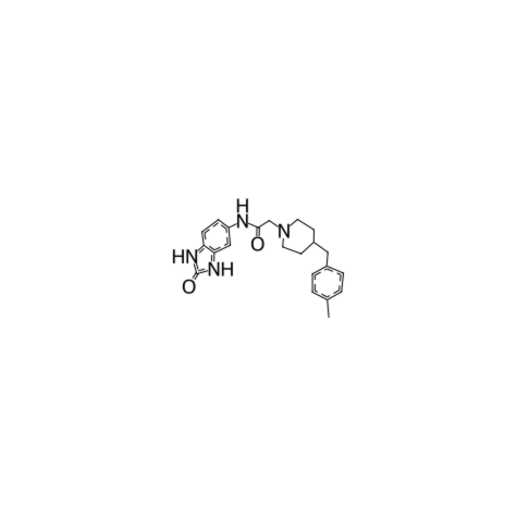 Cc1ccc(CC2CCN(CC(=O)Nc3ccc4[nH]c(=O)[nH]c4c3)CC2)cc1